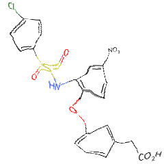 O=C(O)Cc1cccc(Oc2ccc([N+](=O)[O-])cc2NS(=O)(=O)c2ccc(Cl)cc2)c1